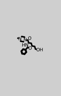 CN1CCN(C(=O)C(CCCCO)NC(=O)c2ccccc2)CC1